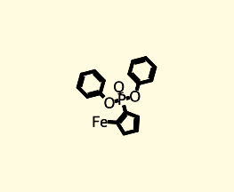 O=P(Oc1ccccc1)(Oc1ccccc1)C1=[C]([Fe])CC=C1